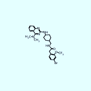 CN(C)c1nc(NC2CCC(CNC(=O)Cc3ccc(Br)cc3OC(F)(F)F)CC2)nc2ccccc12